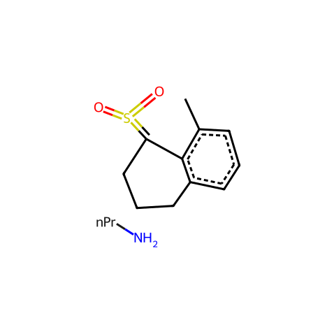 CCCN.Cc1cccc2c1C(=S(=O)=O)CCC2